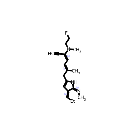 C#C/C(=C\C=C(/C)CC1=CC(=C/CC)/C(=N\C)N1)N(C)CCF